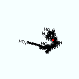 C[C@@H](O)[C@H](NC(=O)CNC(=O)[C@H](CCCC(=O)O)NC(=O)[C@@H]1CCCN1C(=O)[C@@H](N)Cc1c[nH]cn1)C(=O)NC(C)(Cc1ccccc1F)C(=O)N[C@H](C(=O)N[C@@H](CO)C(=O)N[C@@H](CC(=O)O)C(=O)N[C@@H](Cc1ccc(-c2ccccc2)cc1)C(=O)N[C@@H](Cc1ccc(-n2cc(CCCCCCCCCCCCCCCC(=O)O)nn2)cc1)C(N)=O)[C@@H](C)O